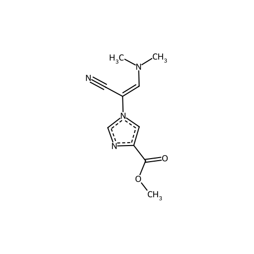 COC(=O)c1cn(C(C#N)=CN(C)C)cn1